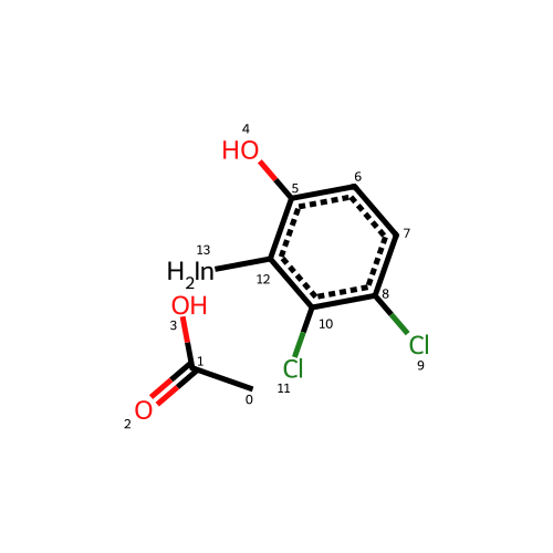 CC(=O)O.Oc1ccc(Cl)c(Cl)[c]1[InH2]